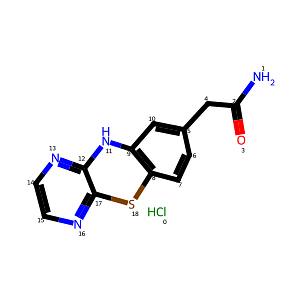 Cl.NC(=O)Cc1ccc2c(c1)Nc1nccnc1S2